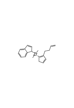 C=CCCC1=[C]([Zr]([CH3])([CH3])[CH]2C=Cc3ccccc32)CC=C1